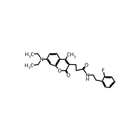 CCN(CC)c1ccc2c(C)c(CCC(=O)NCCc3ccccc3F)c(=O)oc2c1